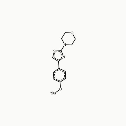 CC(C)(C)Oc1ccc(-c2csc(N3CCOCC3)n2)cc1